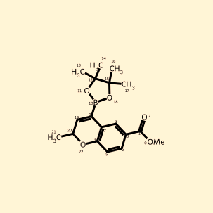 COC(=O)c1ccc2c(c1)C(B1OC(C)(C)C(C)(C)O1)=CC(C)O2